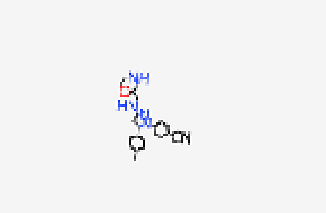 Cc1ccc(-c2cc(NC[C@@H]3CNCCO3)nn2-c2ccc(C#N)cc2)cc1